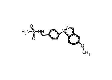 COc1ccc2c(cnn2-c2ccc(CNS(N)(=O)=O)cc2)c1